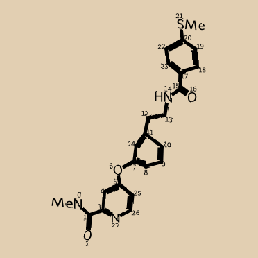 CNC(=O)c1cc(Oc2cccc(CCNC(=O)c3ccc(SC)cc3)c2)ccn1